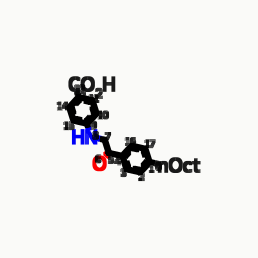 CCCCCCCCc1ccc(C(=O)CNc2ccc(C(=O)O)cc2)cc1